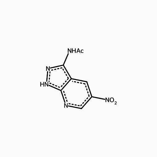 CC(=O)Nc1n[nH]c2ncc([N+](=O)[O-])cc12